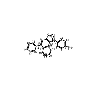 Fc1ccc(-n2ncc3cc(-c4ccccc4)c4cnccc4c32)cc1